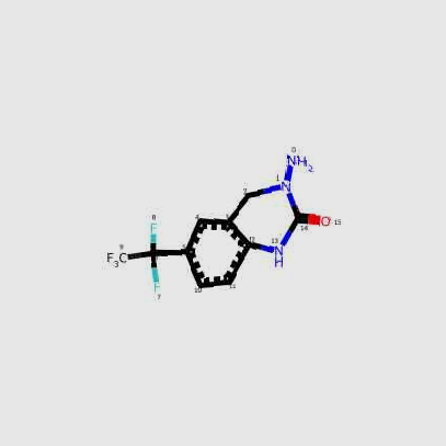 NN1Cc2cc(C(F)(F)C(F)(F)F)ccc2NC1=O